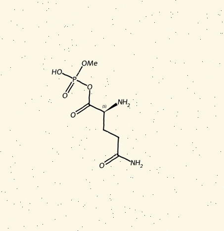 COP(=O)(O)OC(=O)[C@@H](N)CCC(N)=O